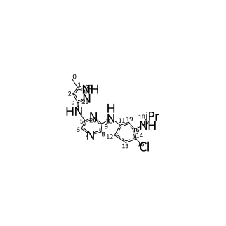 Cc1cc(Nc2cncc(Nc3ccc(Cl)c(NC(C)C)c3)n2)n[nH]1